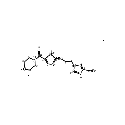 CCCc1cn(CCNc2ncc(C(=O)N3CCOCC3)[nH]2)nn1